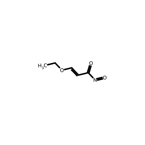 CCO/C=C/C(=O)N=O